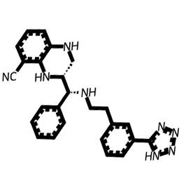 N#Cc1cccc2c1N[C@@H]([C@H](NCCc1cccc(-c3nnn[nH]3)c1)c1ccccc1)CN2